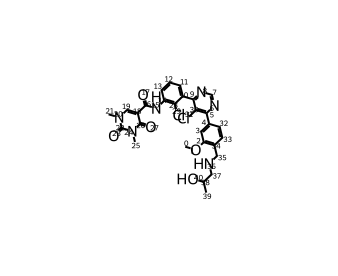 COc1cc(-c2ncnc(-c3cccc(NC(=O)c4cn(C)c(=O)n(C)c4=O)c3Cl)c2Cl)ccc1CNCC(C)O